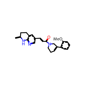 C=C1CCc2cc(/C=C/C(=O)N3CCC=C(c4ccccc4OC)C3)cnc2N1